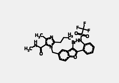 CCCc1nc(C)c(C(=O)NC)n1Cc1ccc2oc(-c3ccccc3NS(=O)(=O)C(F)(F)F)c(Br)c2c1